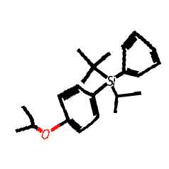 CC(C)Oc1ccc([Si](c2ccccc2)(C(C)C)C(C)(C)C)cc1